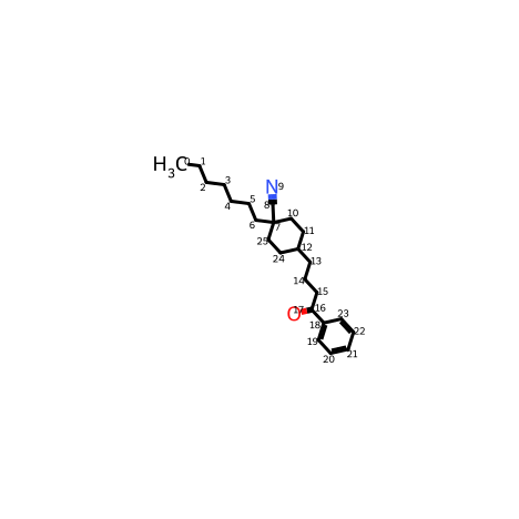 CCCCCCCC1(C#N)CCC(CCCC(=O)c2ccccc2)CC1